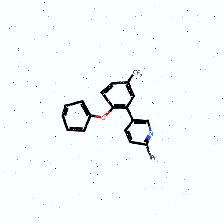 CC(C)c1ccc(-c2cc(C(F)(F)F)ccc2Oc2ccccc2)cn1